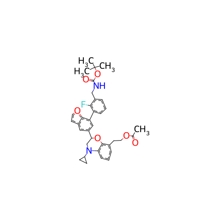 CC(=O)OCCc1cccc2c1OC(c1cc(-c3cccc(CNC(=O)OC(C)(C)C)c3F)c3occc3c1)CN2C1CC1